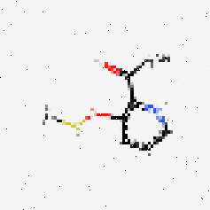 COC(=O)c1ncccc1OSC(F)(F)F